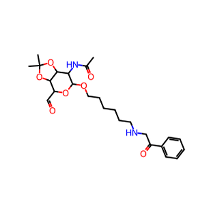 CC(=O)NC1C(OCCCCCCNCC(=O)c2ccccc2)OC(C=O)C2OC(C)(C)OC12